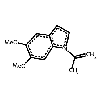 C=C(C)n1ccc2cc(OC)c(OC)cc21